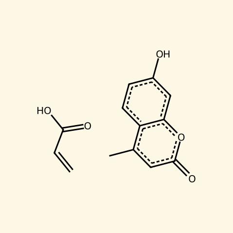 C=CC(=O)O.Cc1cc(=O)oc2cc(O)ccc12